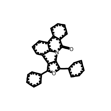 O=c1c2ccccc2c2cccc3c4c(-c5ccccc5)oc(-c5ccccc5)c4n1c23